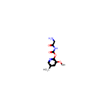 CCCOc1cc(C(=O)O)cnc1OC(=O)NC(=O)CN